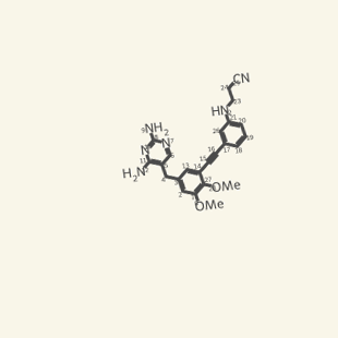 COc1cc(Cc2cnc(N)nc2N)cc(C#Cc2cccc(NCCC#N)c2)c1OC